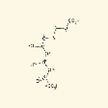 O=C(O)OCCOC(=O)OB(F)OC(=O)C(=O)O